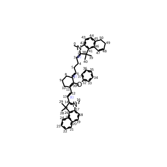 CN1/C(=C/CC/C=C2\CCCC(/C=C/C3=[N+](C)c4ccc5ccccc5c4C3(C)C)=C2Oc2ccccc2)C(C)(C)c2c1ccc1c2C=CCC1